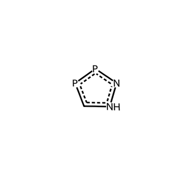 c1[nH]npp1